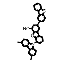 Cc1ccc2c(c1)c1cc(C)ccc1n2-c1cccc2c1oc1c(C#N)cc(-c3ccc4sc5ccccc5c4c3)cc12